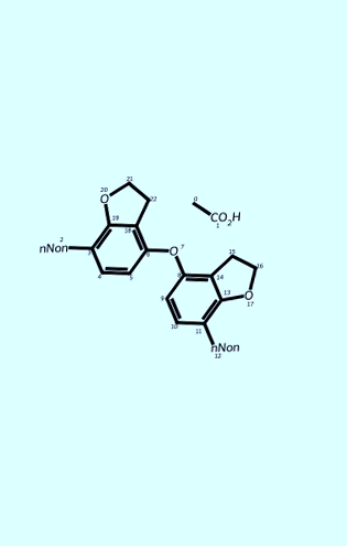 CC(=O)O.CCCCCCCCCc1ccc(Oc2ccc(CCCCCCCCC)c3c2CCO3)c2c1OCC2